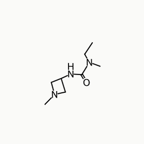 CCN(C)C(=O)NC1CN(C)C1